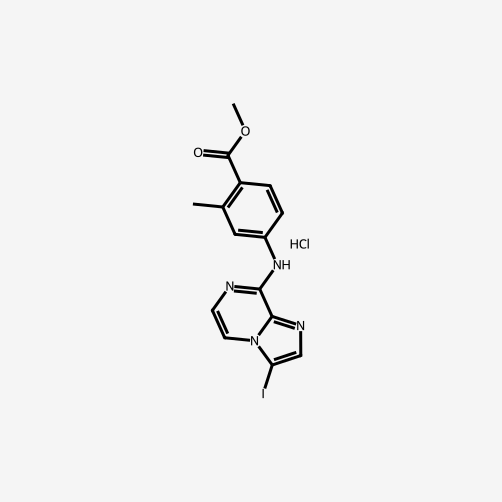 COC(=O)c1ccc(Nc2nccn3c(I)cnc23)cc1C.Cl